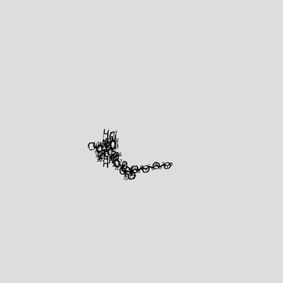 COCCOCCOCCOC(=O)OC(C)OC(=O)c1ccc(NC(=O)[C@@H]2N[C@@H](CC(C)(C)C)[C@@]3(C(=O)Nc4cc(Cl)ccc43)[C@H]2c2cccc(Cl)c2F)c(OC)c1